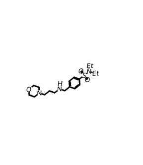 CCN(CC)S(=O)(=O)c1ccc(CNCCCN2CCOCC2)cc1